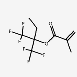 C=C(C)C(=O)OC(CC)(C(F)(F)F)C(F)(F)F